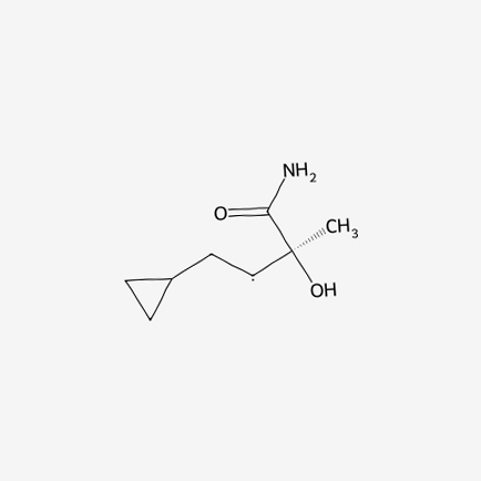 C[C@](O)([CH]CC1CC1)C(N)=O